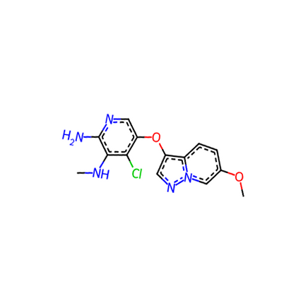 CNc1c(N)ncc(Oc2cnn3cc(OC)ccc23)c1Cl